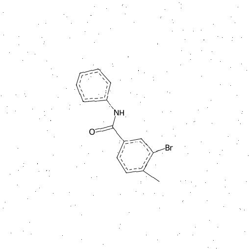 Cc1ccc(C(=O)Nc2ccccc2)cc1Br